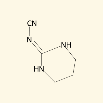 N#CN=C1NCCCN1